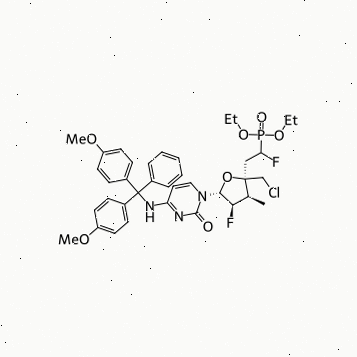 CCOP(=O)(OCC)C(F)C[C@@]1(CCl)O[C@@H](n2ccc(NC(c3ccccc3)(c3ccc(OC)cc3)c3ccc(OC)cc3)nc2=O)[C@H](F)[C@@H]1C